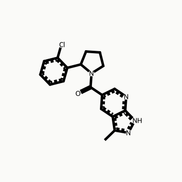 Cc1n[nH]c2ncc(C(=O)N3CCCC3c3ccccc3Cl)cc12